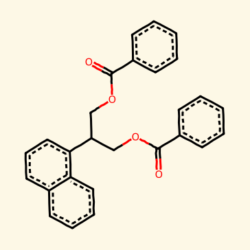 O=C(OCC(COC(=O)c1ccccc1)c1cccc2ccccc12)c1ccccc1